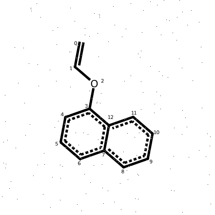 C=COc1cccc2ccccc12